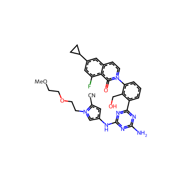 COCCOCCn1cc(Nc2nc(N)nc(-c3cccc(-n4ccc5cc(C6CC6)cc(F)c5c4=O)c3CO)n2)cc1C#N